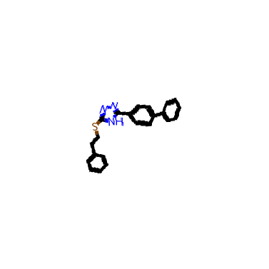 c1ccc(CCSc2nnc(-c3ccc(-c4ccccc4)cc3)[nH]2)cc1